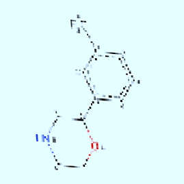 FC(F)(F)c1cccc(C2CNCCO2)c1